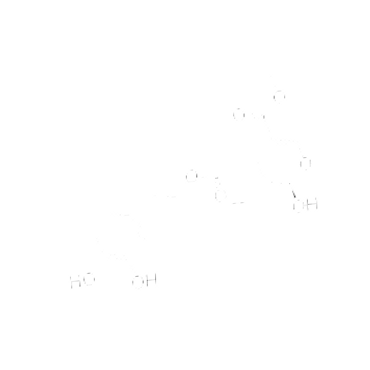 C/C=C1/[C@H](O)OC=C(C(=O)OC)[C@H]1CC(=O)OCCc1ccc(O)c(O)c1